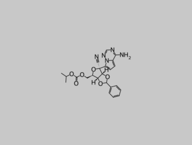 CC(C)OC(=O)OC[C@H]1O[C@@](C#N)(c2ccc3c(N)ncnn23)[C@@H]2OC(c3ccccc3)O[C@@H]21